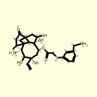 C=C[C@]1(S)C[C@@H](OC(=O)CSc2cccc(CN)c2)[C@]2(S)C(S)CC34CC(C(C)CC3=O)(C42)[C@@H](N)C1O